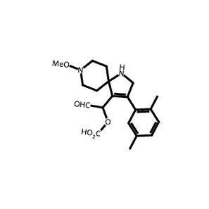 CON1CCC2(CC1)NCC(c1cc(C)ccc1C)=C2C(C=O)OC(=O)O